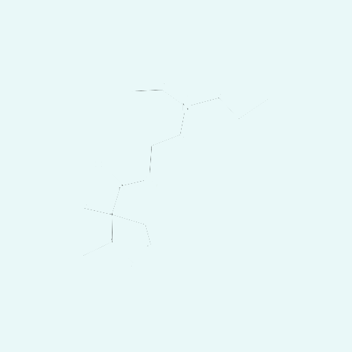 CCCN(CC)CCOC(=O)C(C)(CC)C(C)C